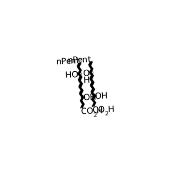 CCCCCC=CC[C@@H](O)C=CC=CC=C[C@@H](O)CCCC(=O)O.CCCCCC=CC[C@@H](O)C=CC=CC=C[C@@H](O)CCCC(=O)O